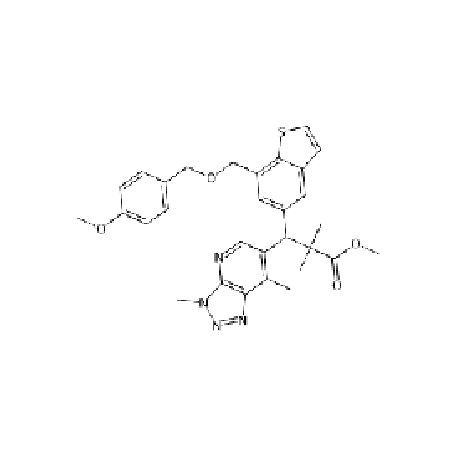 COC(=O)C(C)(C)C(c1cc(COCc2ccc(OC)cc2)c2sccc2c1)c1cnc2c(nnn2C)c1C